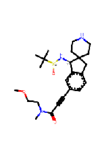 COCCN(C)C(=O)C#Cc1ccc2c(c1)[C@@H](N[S@+]([O-])C(C)(C)C)C1(CCNCC1)C2